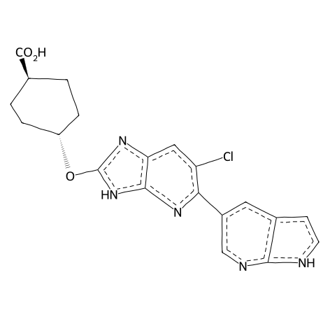 O=C(O)[C@H]1CC[C@H](Oc2nc3cc(Cl)c(-c4cnc5[nH]ccc5c4)nc3[nH]2)CC1